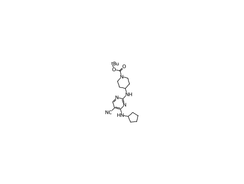 CC(C)(C)OC(=O)N1CCC(Nc2ncc(C#N)c(NC3CCCC3)n2)CC1